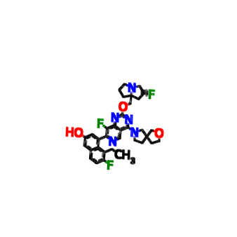 CCc1c(F)ccc2cc(O)cc(-c3ncc4c(N5CCC6(CCOC6)C5)nc(OCC56CCCN5C[C@H](F)C6)nc4c3F)c12